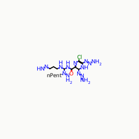 CCCCCN(N)C(NCCCN=N)NC(=O)C1=NC(Cl)=C(N=NN)NC1N=NN